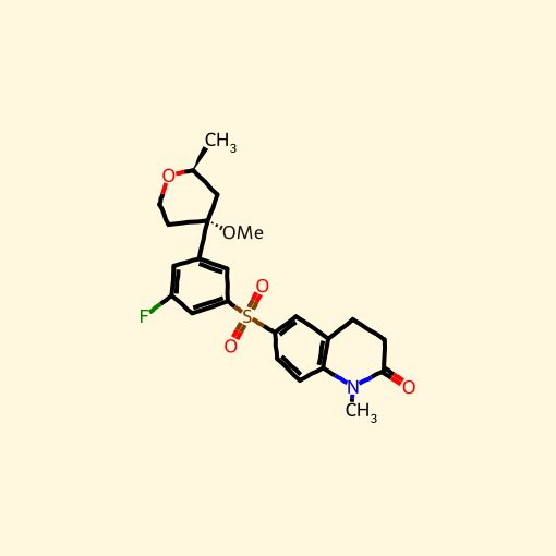 CO[C@]1(c2cc(F)cc(S(=O)(=O)c3ccc4c(c3)CCC(=O)N4C)c2)CCO[C@@H](C)C1